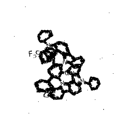 CC(C)(C)c1c(-n2c3ccccc3c3ccc4c(c5ccccc5n4-c4ccccc4)c32)c(-c2cccc(C(F)(F)F)c2)cc(-c2cccc(C(F)(F)F)c2)c1-n1c2ccccc2c2ccc3c(c4ccccc4n3-c3ccccc3)c21